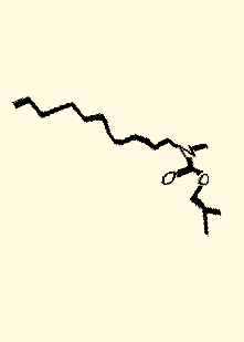 CCCCCCCCCCN(C)C(=O)OCC(C)C